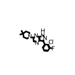 CC1(C)CCN(c2cnc3c(-c4cccc(F)c4Cl)n[nH]c3n2)CC1